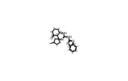 CC1CCC2(C1)N=C(Nc1nc3ccccc3o1)NC1CCCC(=O)C12